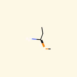 CC/C(N)=P\C